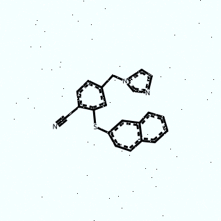 N#Cc1ccc(Cn2ccnc2)cc1Sc1ccc2ccccc2c1